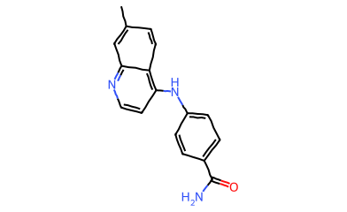 Cc1ccc2c(Nc3ccc(C(N)=O)cc3)ccnc2c1